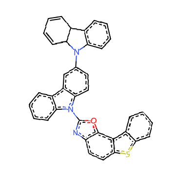 C1=CC2c3ccccc3N(c3ccc4c(c3)c3ccccc3n4-c3nc4ccc5sc6ccccc6c5c4o3)C2C=C1